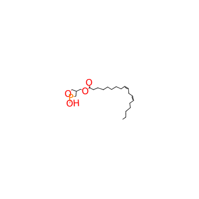 CCCCC/C=C\C/C=C\CCCCCCCC(=O)OCC1COP(O)C1